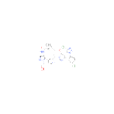 C[C@@H]1CCC[C@H](n2cnc(-c3cc(Cl)ccc3-n3cc(Cl)nn3)cc2=O)c2cc(ccn2)-c2c(cnn2CCO)NC1=O